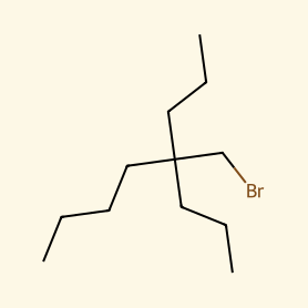 CCCCC(CBr)(CCC)CCC